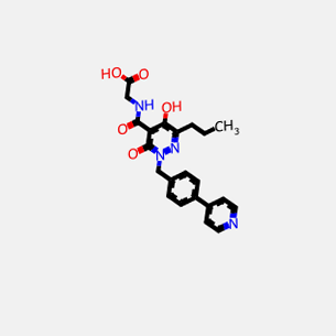 CCCc1nn(Cc2ccc(-c3ccncc3)cc2)c(=O)c(C(=O)NCC(=O)O)c1O